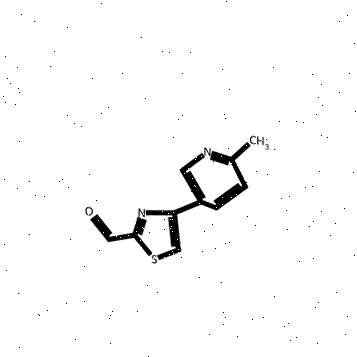 Cc1ccc(-c2csc(C=O)n2)cn1